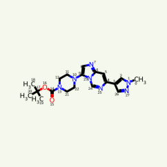 Cn1cc(-c2cc3ncc(N4CCN(C(=O)OC(C)(C)C)CC4)n3cn2)cn1